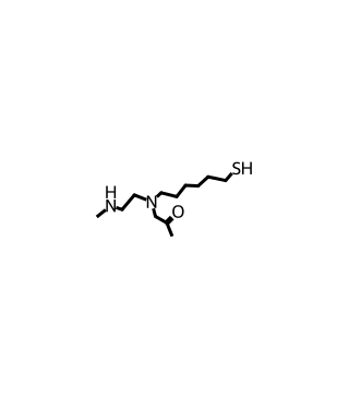 CNCCN(CCCCCCS)CC(C)=O